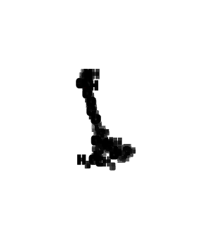 CCN(CC)c1ccc(NC(=O)c2cccc(CCCOCCOCCOCCOCCNC(=O)c3cc[nH]n3)c2)c(-c2cc(C(=O)NC3CCCc4ccccc43)ccn2)c1